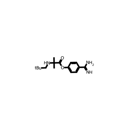 CC(C)(C)CNC(C)(C)C(=O)Oc1ccc(C(=N)N)cc1